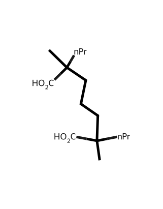 CCCC(C)(CCCC(C)(CCC)C(=O)O)C(=O)O